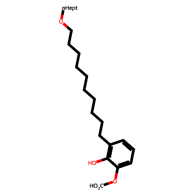 CCCCCCCOCCCCCCCCCCc1cccc(OC(=O)O)c1O